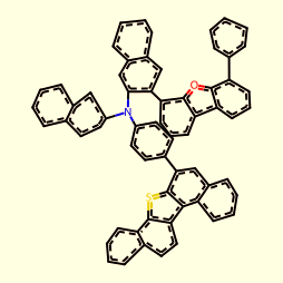 c1ccc(-c2cccc3c2oc2c(-c4cc5ccccc5cc4N(c4ccc(-c5cc6ccccc6c6c5sc5c7ccccc7ccc56)cc4)c4ccc5ccccc5c4)cccc23)cc1